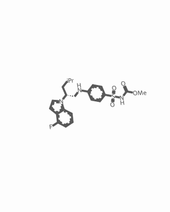 COC(=O)NS(=O)(=O)c1ccc(NC[C@@H](CC(C)C)n2ccc3c(F)cccc32)cc1